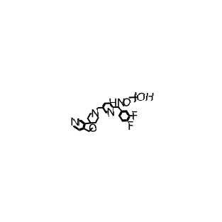 CC(C)(O)CONC(c1ccc(F)c(F)c1)c1ccc(CN2CCC3(CC2)OCc2ccncc23)cn1